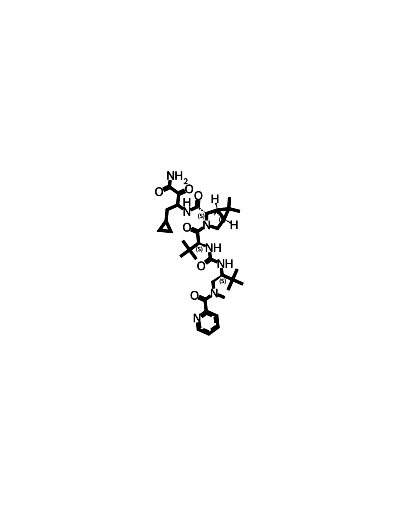 CN(C[C@@H](NC(=O)N[C@H](C(=O)N1C[C@H]2[C@@H]([C@H]1C(=O)NC(CC1CC1)C(=O)C(N)=O)C2(C)C)C(C)(C)C)C(C)(C)C)C(=O)c1ccccn1